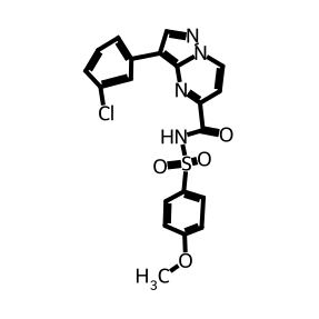 COc1ccc(S(=O)(=O)NC(=O)c2ccn3ncc(-c4cccc(Cl)c4)c3n2)cc1